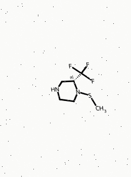 CSN1CCNC[C@@H]1C(F)(F)F